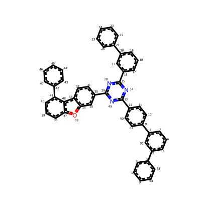 c1ccc(-c2cccc(-c3ccc(-c4nc(-c5cccc(-c6ccccc6)c5)nc(-c5ccc6c(c5)oc5cccc(-c7ccccc7)c56)n4)cc3)c2)cc1